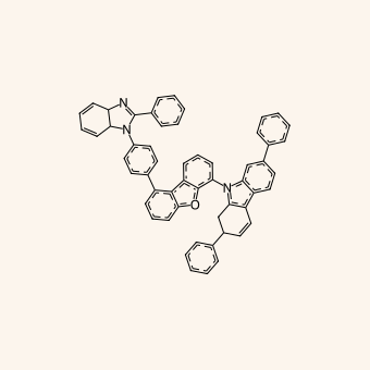 C1=CC2N=C(c3ccccc3)N(c3ccc(-c4cccc5oc6c(-n7c8c(c9ccc(-c%10ccccc%10)cc97)C=CC(c7ccccc7)C8)cccc6c45)cc3)C2C=C1